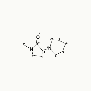 CN1CCC(N2CCCCC2)C1=O